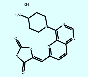 O=C1NC(=O)C(=Cc2ccc3ncnc(N4CCC(C(F)(F)F)CC4)c3n2)S1.[KH]